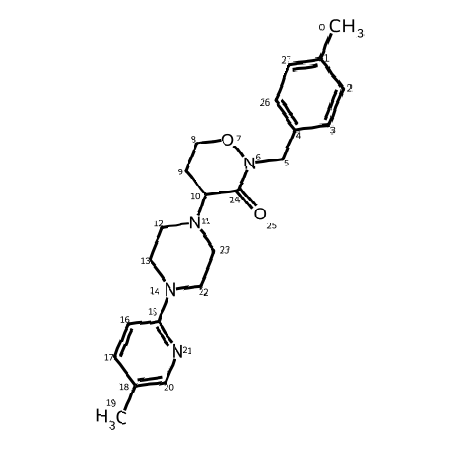 Cc1ccc(CN2OCCC(N3CCN(c4ccc(C)cn4)CC3)C2=O)cc1